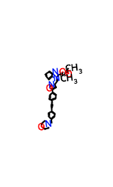 CC(=O)O[C@@H](C)c1nc2ccccc2n1Cc1cc(-c2ccc(C#Cc3ccc(CN4CCOCC4)cc3)cc2)on1